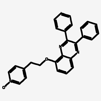 [O-][n+]1ccc(CCOc2cccc3nc(-c4ccccc4)c(-c4cc[c]cc4)nc23)cc1